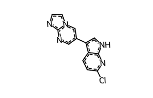 Clc1ccc2c(-c3cnc4nccn4c3)c[nH]c2n1